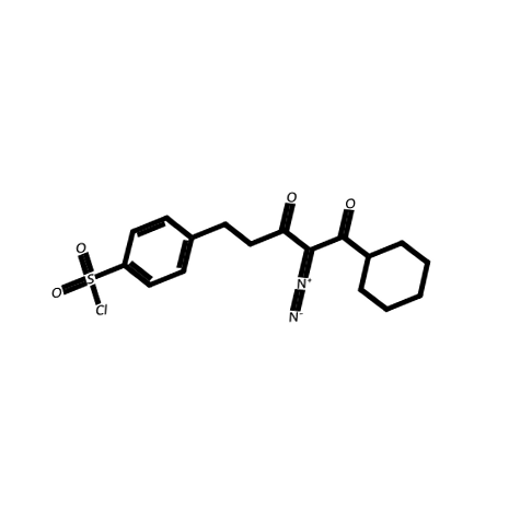 [N-]=[N+]=C(C(=O)CCc1ccc(S(=O)(=O)Cl)cc1)C(=O)C1CCCCC1